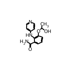 CC(O)Oc1cccc(C(N)=O)c1Nc1ccncc1